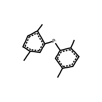 Cc1ccc(C)c([P]c2cc(C)ccc2C)c1